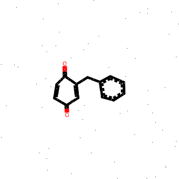 O=C1C=CC(=O)C(Cc2[c]cccc2)=C1